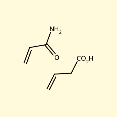 C=CC(N)=O.C=CCC(=O)O